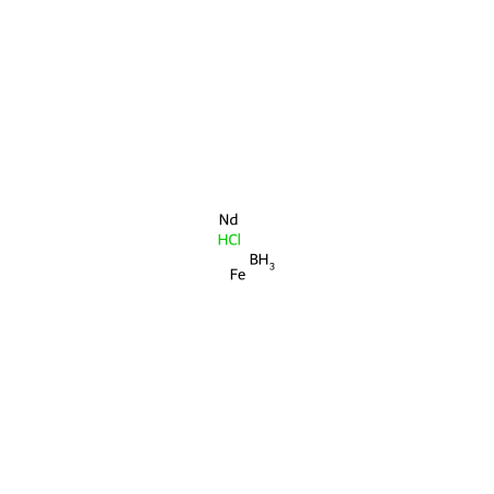 B.Cl.[Fe].[Nd]